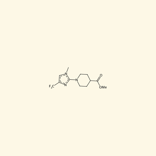 COC(=O)C1CCN(c2nc(C(F)(F)F)cn2C)CC1